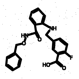 O=C(O)c1cc(CNc2ccccc2C(=O)NOCc2ccccc2)ccc1F